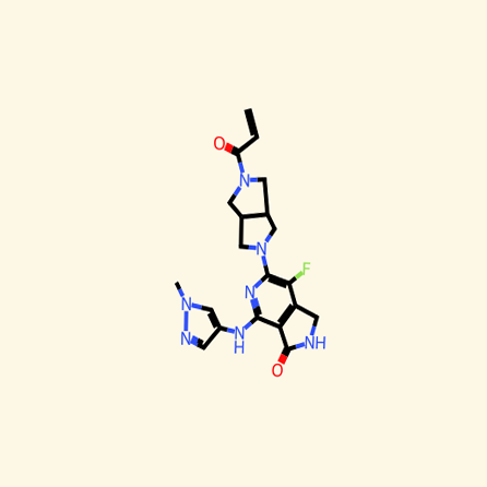 C=CC(=O)N1CC2CN(c3nc(Nc4cnn(C)c4)c4c(c3F)CNC4=O)CC2C1